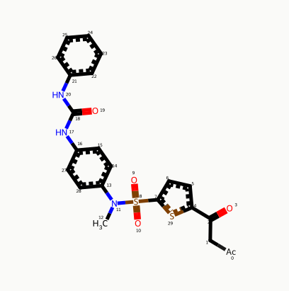 CC(=O)CC(=O)c1ccc(S(=O)(=O)N(C)c2ccc(NC(=O)Nc3ccccc3)cc2)s1